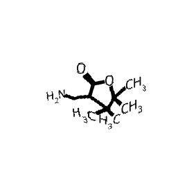 CC1(C)OC(=O)C(CN)C1(C)C